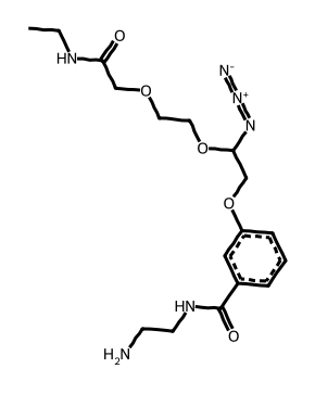 CCNC(=O)COCCOC(COc1cccc(C(=O)NCCN)c1)N=[N+]=[N-]